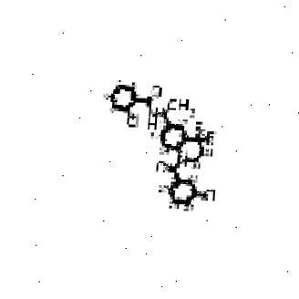 CC(NC(=O)c1ccccc1Cl)c1ccc2c(c1)C(F)(F)CCN2C(=O)c1cccc(Cl)c1